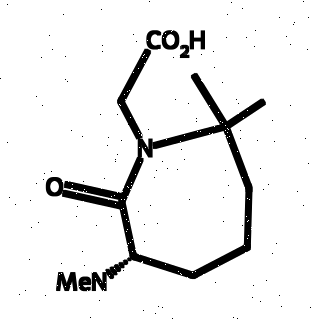 CN[C@H]1CCCC(C)(C)N(CC(=O)O)C1=O